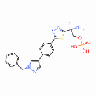 C[C@](N)(COP(=O)(O)O)c1nnc(-c2ccc(-c3cnn(Cc4ccccc4)c3)cc2)s1